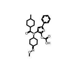 CON=C1CCC(N(C(=O)C2CCC(C)CC2)c2cc(-c3ccccc3)sc2OC(=O)O)CC1